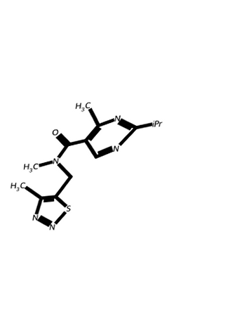 Cc1nc(C(C)C)ncc1C(=O)N(C)Cc1snnc1C